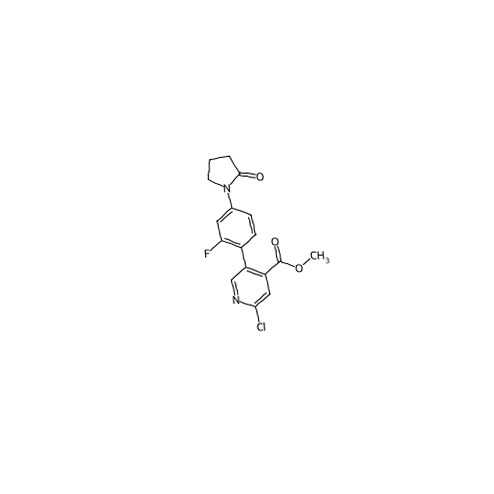 COC(=O)c1cc(Cl)ncc1-c1ccc(N2CCCC2=O)cc1F